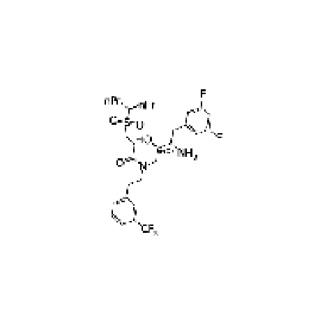 CCCC(CCC)S(=O)(=O)CCC(=O)N(CCc1cccc(C(F)(F)F)c1)C[C@@H](O)[C@@H](N)Cc1cc(F)cc(F)c1